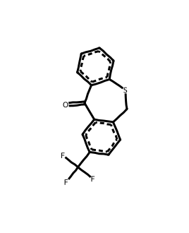 O=C1c2cc(C(F)(F)F)ccc2CSc2ccccc21